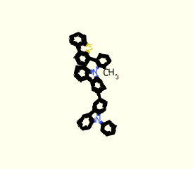 Cc1cccc(-c2cccc3c2sc2ccccc23)c1-n1c2ccccc2c2cc(-c3ccc4c(c3)c3ccccc3n4-c3ccccc3)ccc21